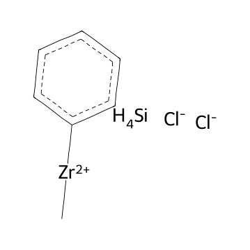 [CH3][Zr+2][c]1ccccc1.[Cl-].[Cl-].[SiH4]